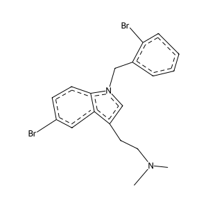 CN(C)CCc1cn(Cc2ccccc2Br)c2ccc(Br)cc12